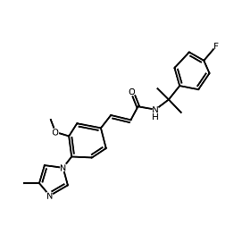 COc1cc(C=CC(=O)NC(C)(C)c2ccc(F)cc2)ccc1-n1cnc(C)c1